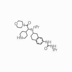 CCCN(C1CCc2ccc(NC(=O)NC(C)C)cc2C1)C(C(=O)N1CCOCC1)C1CCNCC1